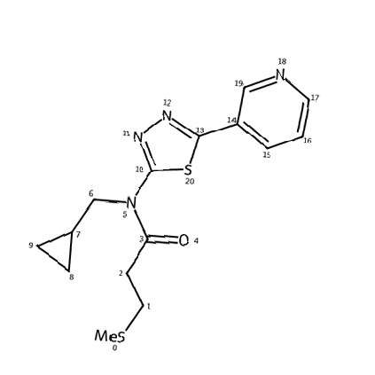 CSCCC(=O)N(CC1CC1)c1nnc(-c2cccnc2)s1